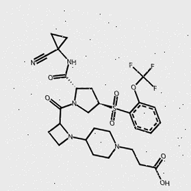 N#CC1(NC(=O)[C@@H]2C[C@@H](S(=O)(=O)c3ccccc3OC(F)(F)F)CN2C(=O)C2CCN2C2CCN(CCC(=O)O)CC2)CC1